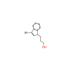 CC(C)C1=CC(CCCO)c2ccccc21